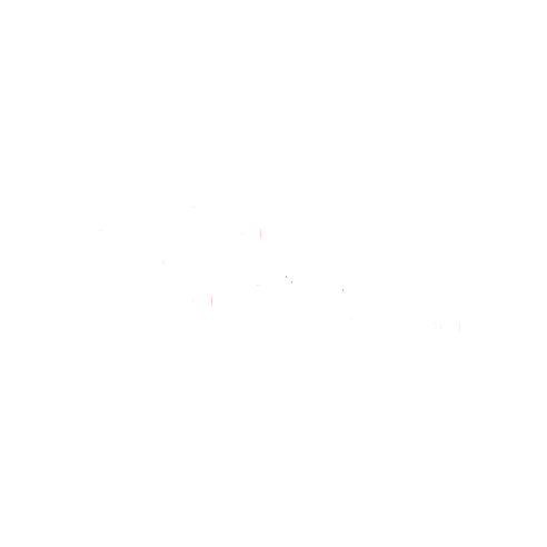 O=C(NCCOCCO)C(O)C(O)C(O)C(O)CO